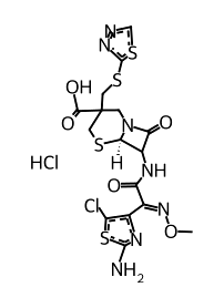 CON=C(C(=O)NC1C(=O)N2CC(CSc3nncs3)(C(=O)O)CS[C@H]12)c1nc(N)sc1Cl.Cl